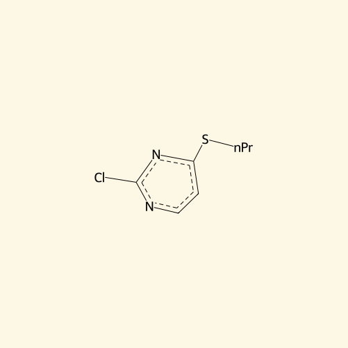 CCCSc1ccnc(Cl)n1